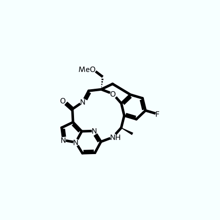 COC[C@@]12/C=N/C(=O)c3cnn4ccc(nc34)N[C@H](C)c3cc(F)cc(c3O1)C2